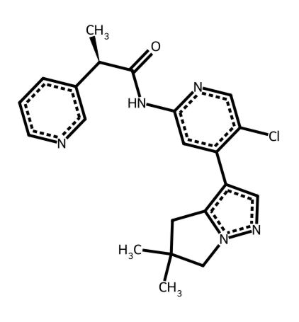 C[C@@H](C(=O)Nc1cc(-c2cnn3c2CC(C)(C)C3)c(Cl)cn1)c1cccnc1